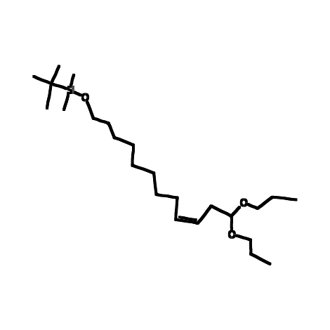 CCCOC(C/C=C\CCCCCCCCO[Si](C)(C)C(C)(C)C)OCCC